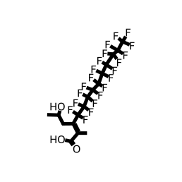 CC(C(=O)O)=C(CC(C)O)C(F)(F)C(F)(F)C(F)(F)C(F)(F)C(F)(F)C(F)(F)C(F)(F)C(F)(F)C(F)(F)C(F)(F)F